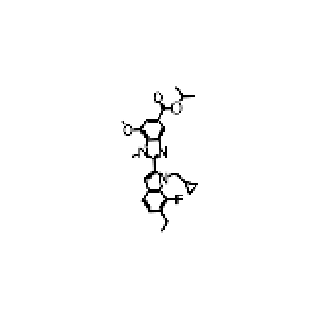 CCc1ccc2cc(-c3nc4cc(C(=O)OC(C)C)cc(OC)c4n3C)n(CC3CC3)c2c1F